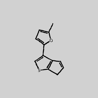 Cc1ccc(-c2csc3c2C=CC3)o1